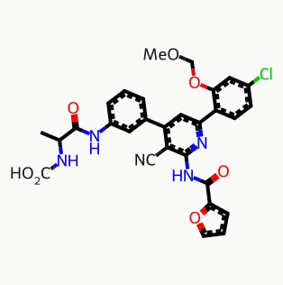 COCOc1cc(Cl)ccc1-c1cc(-c2cccc(NC(=O)C(C)NC(=O)O)c2)c(C#N)c(NC(=O)c2ccco2)n1